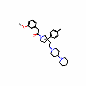 Cc1ccc([C@]2(CCN3CCC(N4CCCCC4)CC3)CCN(C(=O)Cc3cccc(OC(C)C)c3)C2)cc1